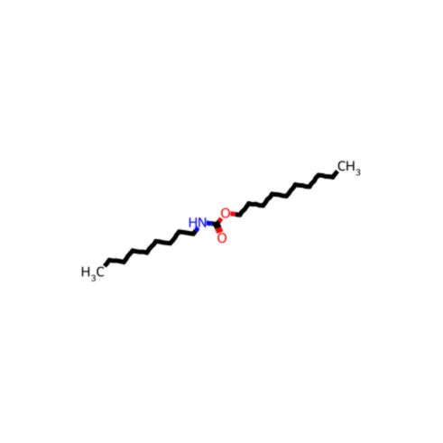 CCCCCCCCCCOC(=O)NCCCCCCCCC